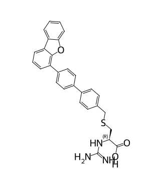 N=C(N)N[C@@H](CSCc1ccc(-c2ccc(-c3cccc4c3oc3ccccc34)cc2)cc1)C(=O)O